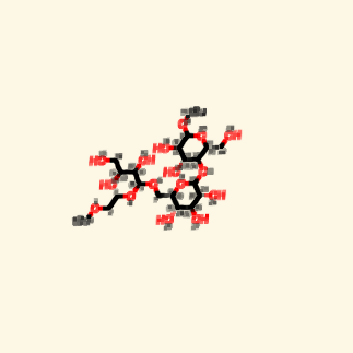 CC(C)(C)OCCO[C@H](OC[C@H]1OC(O[C@H]2[C@H](O)[C@@H](O)C(OC(C)(C)C)O[C@@H]2CO)[C@H](O)[C@@H](O)[C@@H]1O)[C@H](O)[C@@H](O)CO